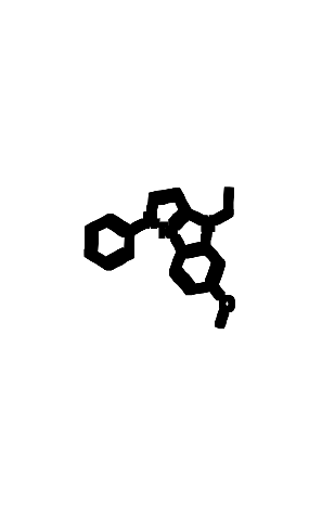 CCN1C2=[Te](c3ccc(OC)cc31)N(c1ccccc1)C=C2